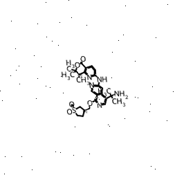 C[C@@H]1c2nc(Nc3cc4c(C(C)(C)N)cnc(OC[C@H]5CCS(=O)(=O)C5)c4cn3)ccc2C(=O)OC1(C)C